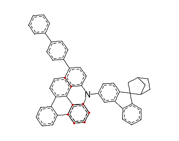 c1ccc(-c2ccc(-c3ccc(N(c4ccc5c(c4)-c4ccccc4C54CC5CCC4C5)c4ccccc4-c4ccccc4-c4ccccc4-c4ccccc4)cc3)cc2)cc1